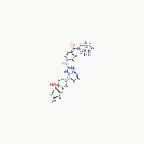 O=C(c1ccc(Nc2nc3c(N4CCC(O)(c5ccc(Cl)cc5)CC4)cccn3n2)cc1)N1C[C@H]2CCN[C@H]2C1